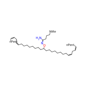 CCCCC/C=C\C/C=C\CCCCCCCCC(CCCCCCCC/C=C\C/C=C\CCCCC)O/N=C(/N)CCCNC